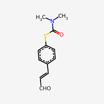 CN(C)C(=O)Sc1ccc(C=CC=O)cc1